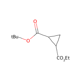 CCOC(=O)C1CC1C(=O)OC(C)(C)C